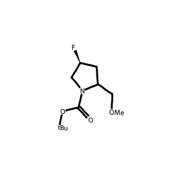 COCC1C[C@H](F)CN1C(=O)OC(C)(C)C